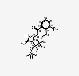 C[SiH](C)O[C@](C)([C@H]1C(=O)N[C@@H]1[C@H]1CCc2c(F)cccc2C1=O)C(C)(C)C